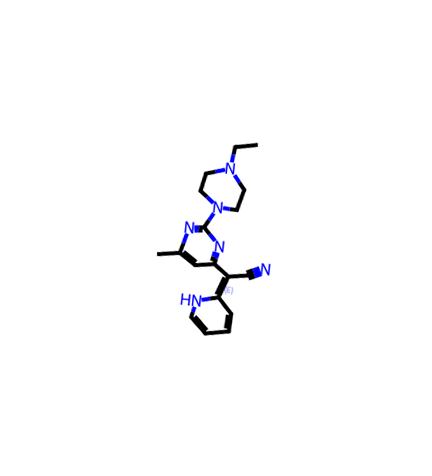 CCN1CCN(c2nc(C)cc(/C(C#N)=C3/C=CC=CN3)n2)CC1